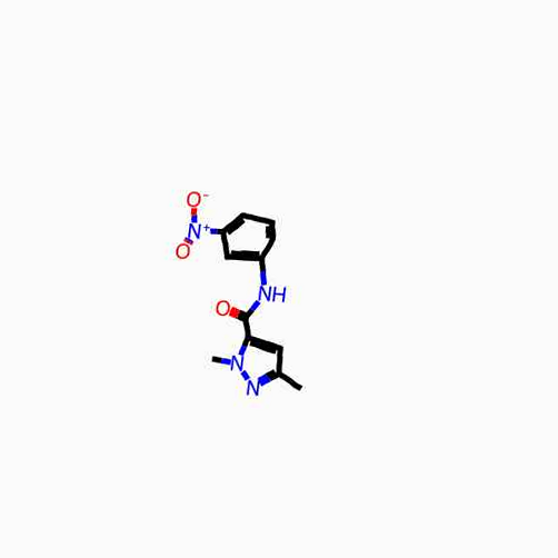 Cc1cc(C(=O)Nc2cccc([N+](=O)[O-])c2)n(C)n1